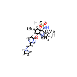 COC1(C(=O)O)C(NS(C)(=O)=O)c2cc(C(C)(C)C)cc(Oc3ccnc(CCN4CCCC4)n3)c2N1C